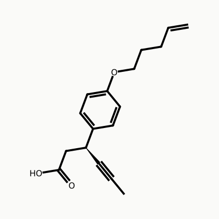 C=CCCCOc1ccc([C@@H](C#CC)CC(=O)O)cc1